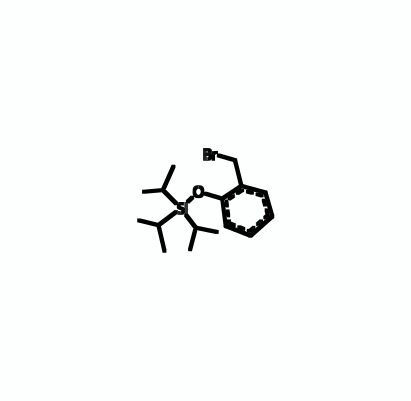 CC(C)[Si](Oc1ccccc1CBr)(C(C)C)C(C)C